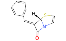 O=C1C(=Cc2ccccc2)[C@@H]2SC=CN12